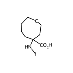 O=C(O)C1(NI)CCCCCCC1